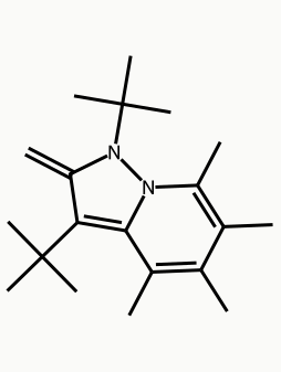 C=C1C(C(C)(C)C)=C2C(C)=C(C)C(C)=C(C)N2N1C(C)(C)C